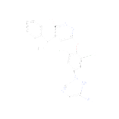 CC(c1ccccc1)c1cc(Oc2c(Cl)cc(N3C=NC=C(N)N3)cc2Cl)n[nH]c1=O